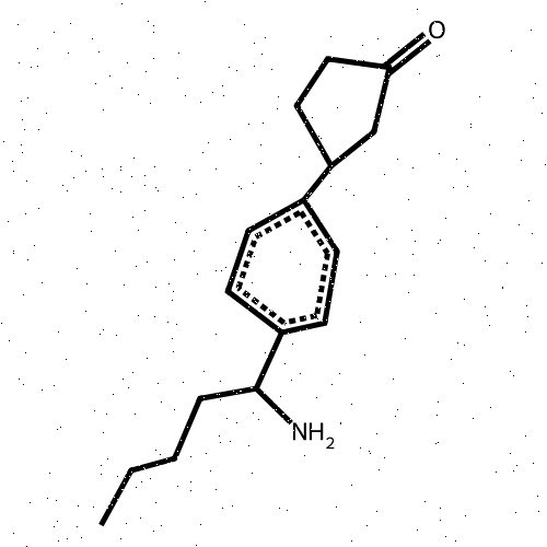 CCCCC(N)c1ccc(C2CCC(=O)C2)cc1